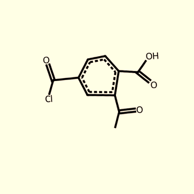 CC(=O)c1cc(C(=O)Cl)ccc1C(=O)O